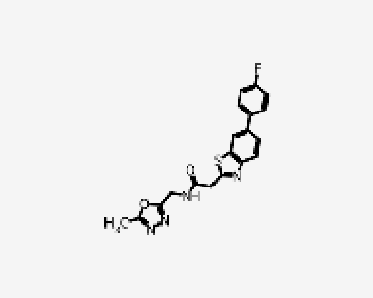 Cc1nnc(CNC(=O)Cc2nc3ccc(-c4ccc(F)cc4)cc3s2)o1